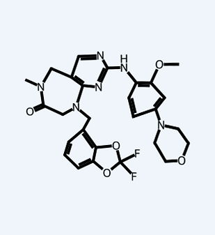 COc1cc(N2CCOCC2)ccc1Nc1ncc2c(n1)N(Cc1cccc3c1OC(F)(F)O3)CC(=O)N(C)C2